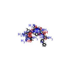 CC(C)C[C@H](NC(=O)[C@@H](Cc1ccccc1)NC(=O)[C@H](CCN)NC(=O)[C@H](C)NC(=O)[C@H](CN)NC(=O)[C@H](CO)NC(=O)[C@H](CCN)NC(=O)c1ccnc(-c2ccccc2)c1)C(=O)N[C@@H](CCN)C(=O)N[C@@H](CCN)C(=O)N[C@H](C(N)=O)[C@@H](C)O